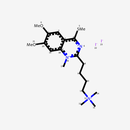 COc1cc2c(SC)nc(CCCC[N+](C)(C)C)[n+](C)c2cc1OC.[I-].[I-]